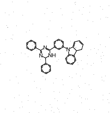 C1=CCC2C(=C1)N(c1cccc(C3=NC(c4ccccc4)=NC(c4ccccc4)N3)c1)c1ccccc12